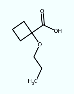 CCCOC1(C(=O)O)CCC1